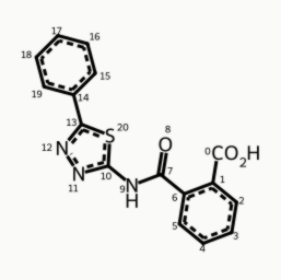 O=C(O)c1ccccc1C(=O)Nc1nnc(-c2ccccc2)s1